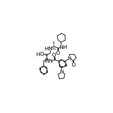 C[C@H](NC[C@H](O)[C@H](Cc1ccccc1)NC(=O)c1cc(N2CCCC2)cc(N2CCCC2=O)c1)C(=O)NC1CCCCC1